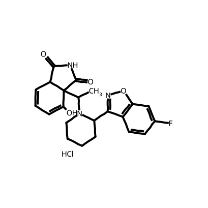 CC(N1CCCCC1c1noc2cc(F)ccc12)C12C(=O)NC(=O)C1C=CC=C2O.Cl